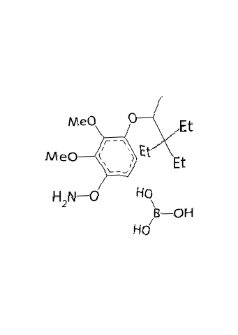 CCC(CC)(CC)C(C)Oc1ccc(ON)c(OC)c1OC.OB(O)O